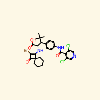 CC(C)(C)C(c1ccc(NC(=O)c2c(Cl)cncc2Cl)cc1)[C@H](NC1=C(Br)C(=O)C12CCCCC2)C(=O)O